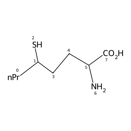 CCCC(S)CCC(N)C(=O)O